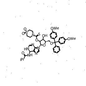 COc1ccc(C(OC[C@H]2O[C@@H](n3cnc4c3N=CNC4NC(=O)C(C)C)C(OC(=S)N3CCS(=O)(=O)CC3)C2O)(c2ccccc2)c2ccc(OC)cc2)cc1